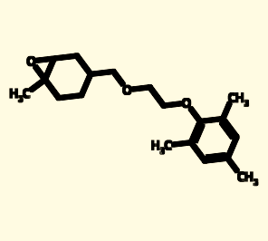 Cc1cc(C)c(OCCOCC2CCC3(C)OC3C2)c(C)c1